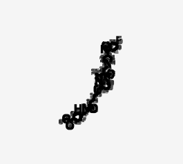 COC(=O)c1ccc(CNC(=O)CCCCOC2CCCn3c2nc(C)c(CCN2CCC(c4noc5cc(F)ccc45)CC2)c3=O)cc1